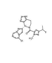 CCc1cccn2nc([C@@H]3c4nc[nH]c4CCN3C(=O)c3cc(C(F)I)nn3C)cc12